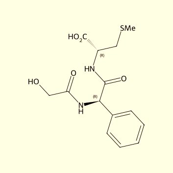 CSC[C@H](NC(=O)[C@H](NC(=O)CO)c1ccccc1)C(=O)O